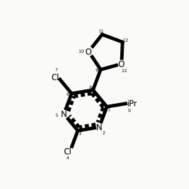 CC(C)c1nc(Cl)nc(Cl)c1C1OCCO1